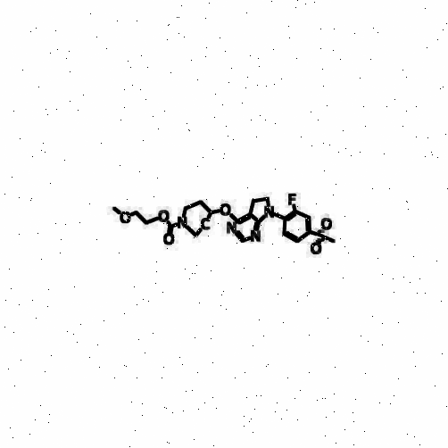 COCCOC(=O)N1CCC(Oc2ncnc3c2CCN3c2ccc(S(C)(=O)=O)cc2F)CC1